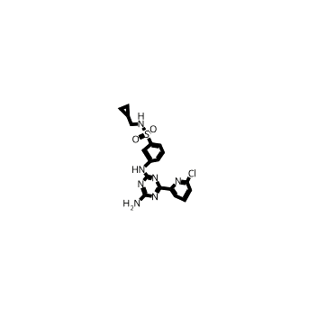 Nc1nc(Nc2cccc(S(=O)(=O)NCC3CC3)c2)nc(-c2cccc(Cl)n2)n1